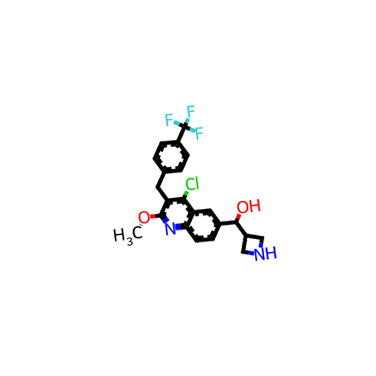 COc1nc2ccc(C(O)C3CNC3)cc2c(Cl)c1Cc1ccc(C(F)(F)F)cc1